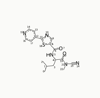 CC(C)CC(NC(=O)c1cnc(-c2ccncc2)s1)C(=O)N(C)C#N